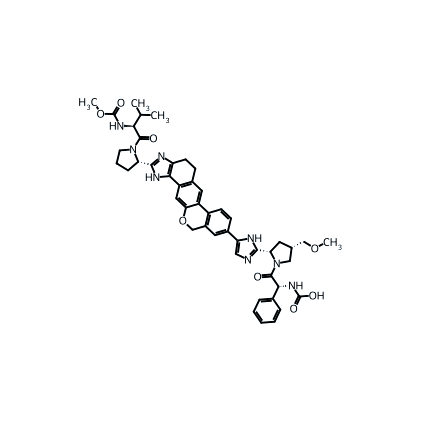 COC[C@H]1C[C@@H](c2ncc(-c3ccc4c(c3)COc3cc5c(cc3-4)CCc3nc([C@@H]4CCCN4C(=O)[C@@H](NC(=O)OC)C(C)C)[nH]c3-5)[nH]2)N(C(=O)[C@H](NC(=O)O)c2ccccc2)C1